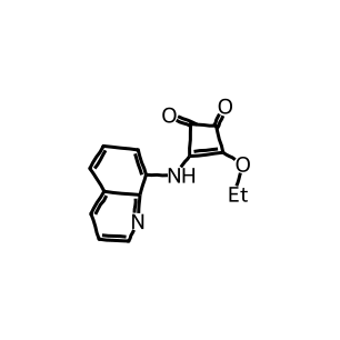 CCOc1c(Nc2cccc3cccnc23)c(=O)c1=O